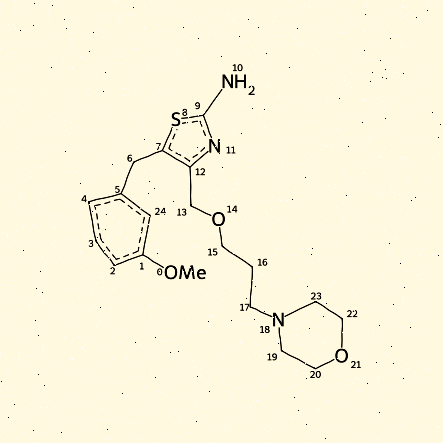 COc1cccc(Cc2sc(N)nc2COCCCN2CCOCC2)c1